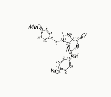 COc1ccc(Cn2cnc3c(Cl)nc(Nc4ccc(C#N)cc4)nc32)cc1